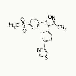 Cc1noc(-c2ccc(S(C)(=O)=O)cc2)c1-c1ccc(-c2cscn2)cc1